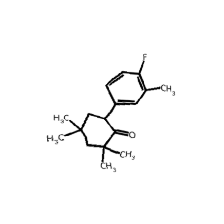 Cc1cc(C2CC(C)(C)CC(C)(C)C2=O)ccc1F